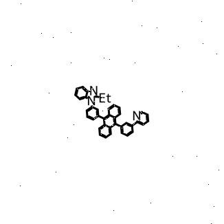 CCc1nc2ccccc2n1-c1cccc(-c2c3ccccc3c(-c3cccc(-c4ccccn4)c3)c3ccccc23)c1